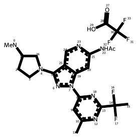 CNC1CCN(c2nn(-c3cc(C)nc(C(C)(F)F)n3)c3cc(NC(C)=O)ncc23)C1.O=C(O)C(F)(F)F